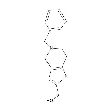 OCc1cc2c(s1)CCN(Cc1ccccc1)C2